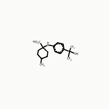 CC1CCC(Nc2ccc(C(O)(C(F)(F)F)C(F)(F)F)cc2)(C(=O)O)CC1